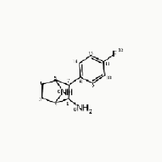 NC1C2CCC(N2)C1c1ccc(F)cc1